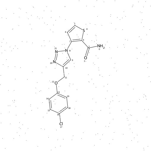 NC(=O)c1sccc1-n1cc(COc2ccc(Cl)cc2)nn1